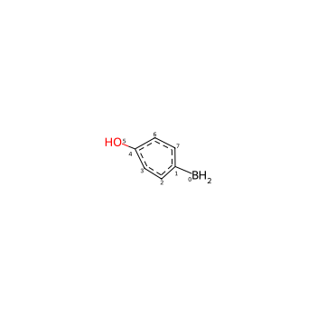 Bc1ccc(O)cc1